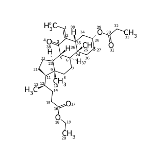 C/C=C1\C(=O)[C@@H]2[C@H](CC[C@]3(C)[C@@H]([C@H](C)CCC(=O)OCC)CC[C@@H]23)[C@@]2(C)CC[C@@H](OC(=O)CC)C[C@@H]12